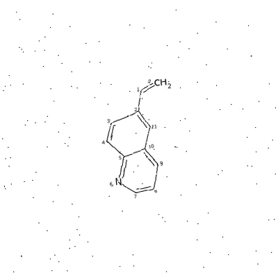 C=[C]c1ccc2ncccc2c1